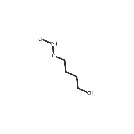 CCCCCOPCl